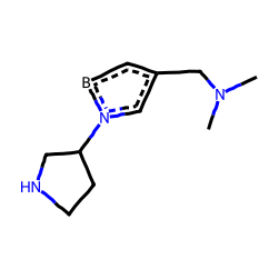 CN(C)Cc1cbn(C2CCNC2)c1